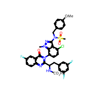 COc1ccc(CN(c2nn(C)c3c(-n4c(C(Cc5cc(F)cc(F)c5)NC(=O)O)nc5ccc(F)cc5c4=O)ccc(Cl)c23)S(C)(=O)=O)cc1